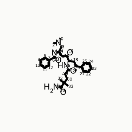 CN(C)Cc1nc(-c2ccccc2)oc1C(=O)C(CCc1ccccc1)NC(=O)[CH]CC(C)(C)C(N)=O